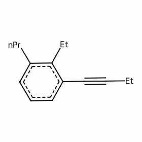 CCC#Cc1cccc(CCC)c1CC